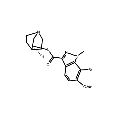 COc1ccc2c(C(=O)N[C@@H]3CN4CCC3CC4)nn(C)c2c1Br